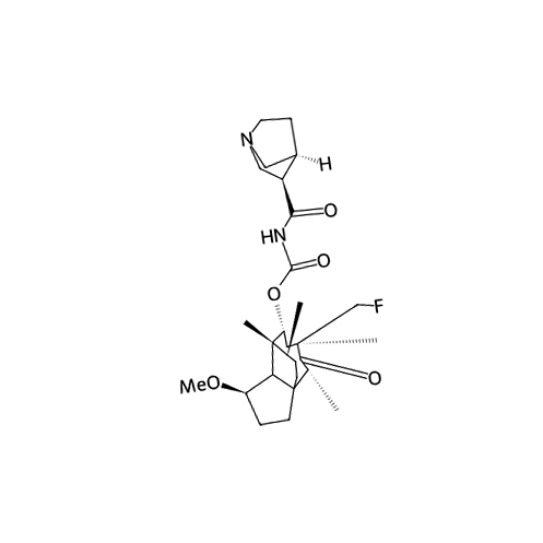 CO[C@@H]1CCC23CC[C@@H](C)[C@](C)(C12)[C@H](OC(=O)NC(=O)[C@H]1CN2CC[C@@H]1C2)C[C@@](C)(CF)C(=O)[C@@H]3C